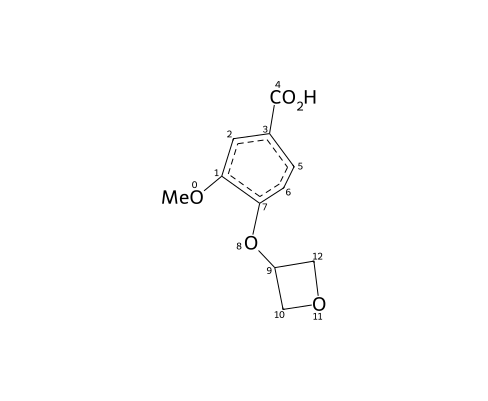 COc1cc(C(=O)O)ccc1OC1COC1